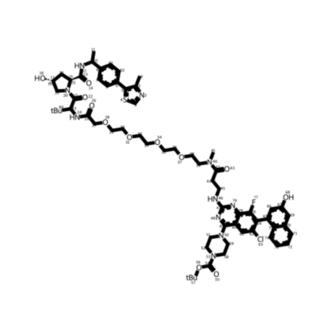 Cc1ncsc1-c1ccc(C(C)NC(=O)[C@@H]2C[C@@H](O)CN2C(=O)C(NC(=O)COCCOCCOCCOCCN(C)C(=O)CCNc2nc(N3CCN(C(=O)OC(C)(C)C)CC3)c3cc(Cl)c(-c4cc(O)cc5ccccc45)c(F)c3n2)C(C)(C)C)cc1